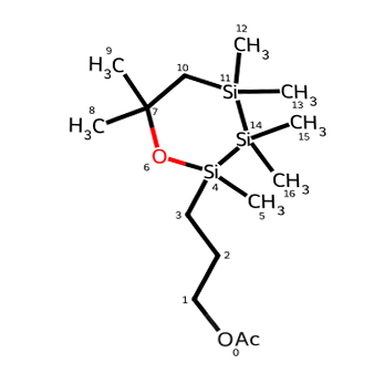 CC(=O)OCCC[Si]1(C)OC(C)(C)C[Si](C)(C)[Si]1(C)C